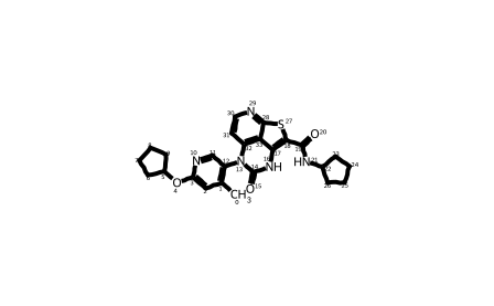 Cc1cc(OC2CCCC2)ncc1N1C(=O)Nc2c(C(=O)NC3CCCC3)sc3nccc1c23